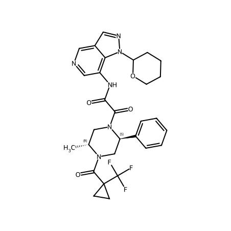 C[C@@H]1CN(C(=O)C(=O)Nc2cncc3cnn(C4CCCCO4)c23)[C@@H](c2ccccc2)CN1C(=O)C1(C(F)(F)F)CC1